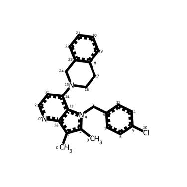 Cc1c(C)n(Cc2ccc(Cl)cc2)c2c(N3CCc4ccccc4C3)ccnc12